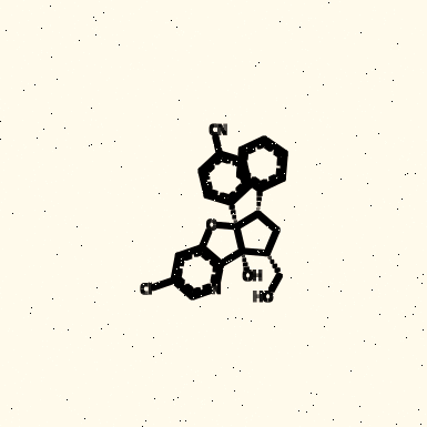 N#Cc1ccc([C@@]23Oc4cc(Cl)cnc4[C@]2(O)[C@@H](CO)C[C@H]3c2ccccc2)cc1